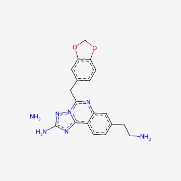 N.NCCc1ccc2c(c1)nc(Cc1ccc3c(c1)OCO3)n1nc(N)nc21